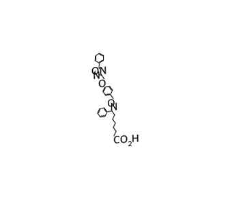 O=C(O)CCCCCC/C(=N/OCc1ccc(OCc2noc(-c3ccccc3)n2)cc1)c1ccccc1